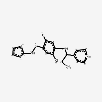 CCC(Nc1cc(F)c(SNc2nccs2)cc1Cl)c1ccncc1